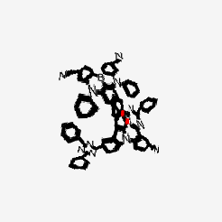 N#Cc1ccc(-n2c3ccc(-c4cc5c6c(c4)N(c4ccccc4)c4cc(C#N)ccc4B6c4ccc(C#N)cc4N5c4ccccc4)cc3c3cc(-c4nc(-c5ccccc5)nc(-c5ccccc5)n4)ccc32)c(-c2nc(-c3ccccc3)nc(-c3ccccc3)n2)c1